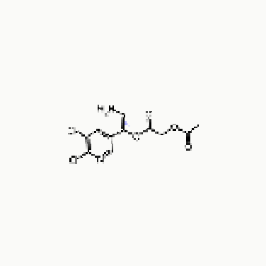 CC(=O)OCC(=O)O/C(=C/N)c1cnc(Cl)c(Cl)c1